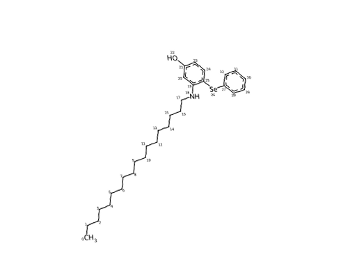 CCCCCCCCCCCCCCCCCCNc1cc(O)ccc1[Se]c1ccccc1